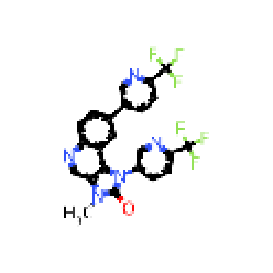 Cn1c(=O)n(-c2ccc(C(F)(F)F)nc2)c2c3cc(-c4ccc(C(F)(F)F)nc4)ccc3ncc21